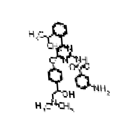 CC(C)c1ccccc1-c1cc(Oc2ccc(C(O)CN(C)C)cc2)nc(NS(=O)(=O)c2cccc(N)c2)n1